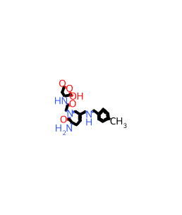 Cc1ccc(CNCC2=CCC(N)C(=O)N(CC(=O)NC3CC(=O)OC3O)C2)cc1